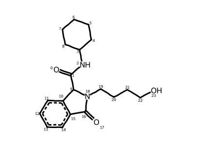 O=C(NC1CCCCC1)C1c2ccccc2C(=O)N1CCCCO